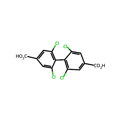 O=C(O)c1cc(Cl)c(-c2c(Cl)cc(C(=O)O)cc2Cl)c(Cl)c1